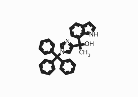 CC(O)(c1cn(C(c2ccccc2)(c2ccccc2)c2ccccc2)cn1)c1cccc2cc[nH]c12